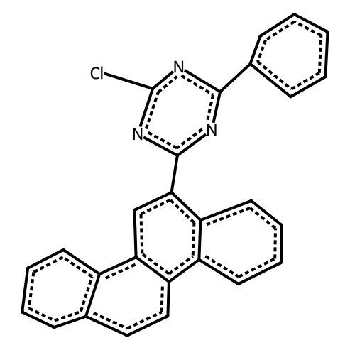 Clc1nc(-c2ccccc2)nc(-c2cc3c4ccccc4ccc3c3ccccc23)n1